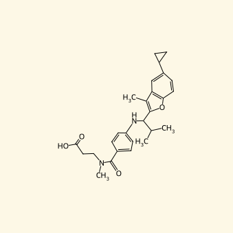 Cc1c(C(Nc2ccc(C(=O)N(C)CCC(=O)O)cc2)C(C)C)oc2ccc(C3CC3)cc12